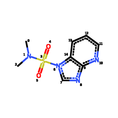 CN(C)S(=O)(=O)n1cnc2ncccc21